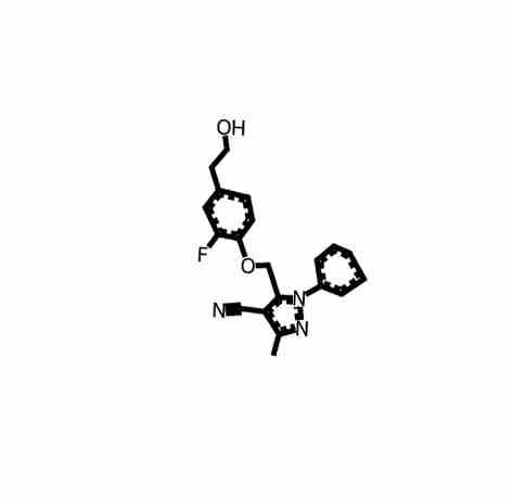 Cc1nn(-c2ccccc2)c(COc2ccc(CCO)cc2F)c1C#N